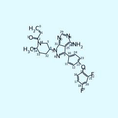 C=CC(=O)N1CC(n2nc(-c3ccc(Oc4ccc(F)cc4F)cc3)c3c(N)ncnc32)CC[C@H]1C